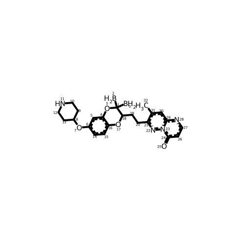 BC1(B)Oc2cc(OC3CCNCC3)ccc2OC1CCc1nn2c(=O)ccnc2cc1C